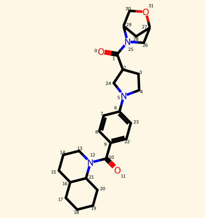 O=C(C1CCN(c2ccc(C(=O)N3CCCC4CCCCC43)cc2)C1)N1CC2CC1CO2